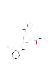 C=CC(=O)OCC(COC(=O)C=C)OC(=O)c1ccccc1C(=O)O